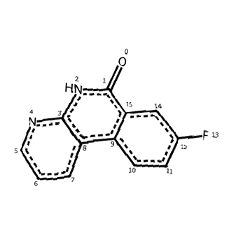 O=c1[nH]c2ncccc2c2ccc(F)cc12